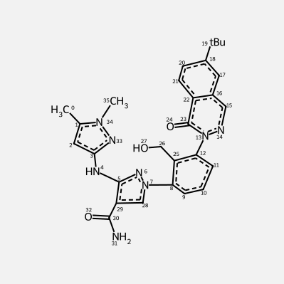 Cc1cc(Nc2nn(-c3cccc(-n4ncc5cc(C(C)(C)C)ccc5c4=O)c3CO)cc2C(N)=O)nn1C